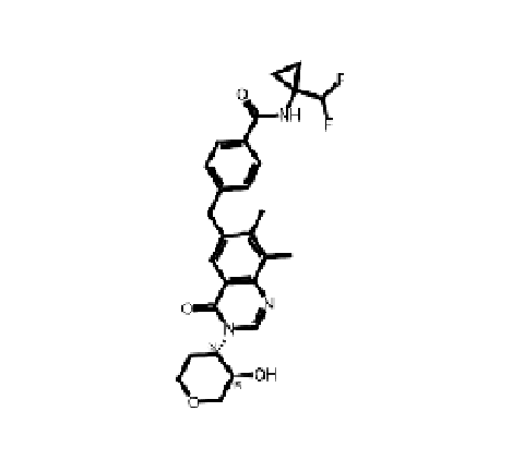 Cc1c(Cc2ccc(C(=O)NC3(C(F)F)CC3)cc2)cc2c(=O)n([C@H]3CCOC[C@@H]3O)cnc2c1C